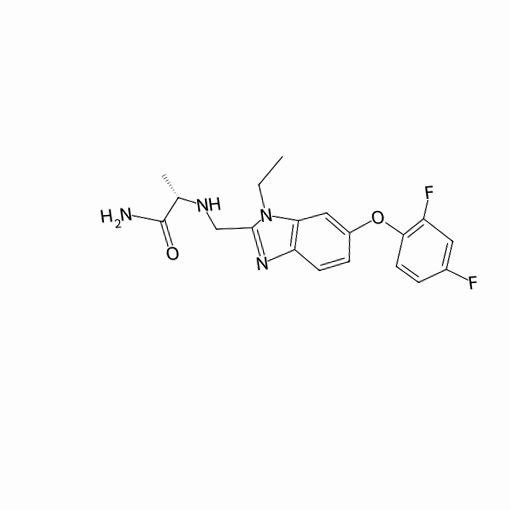 CCn1c(CN[C@@H](C)C(N)=O)nc2ccc(Oc3ccc(F)cc3F)cc21